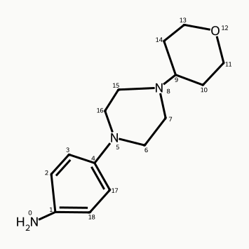 Nc1ccc(N2CCN(C3CCOCC3)CC2)cc1